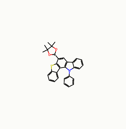 CC1(C)OB(c2cc3c4ccccc4n(-c4ccccc4)c3c3c2sc2ccccc23)OC1(C)C